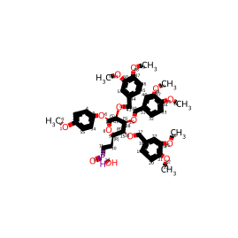 COc1ccc(O[C@H]2O[C@H](CC[PH](=O)O)[C@@H](OCc3ccc(OC)c(OC)c3)[C@H](OCc3ccc(OC)c(OC)c3)[C@@H]2OCc2ccc(OC)c(OC)c2)cc1